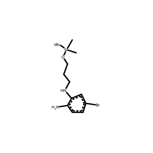 CC(C)(C)[Si](C)(C)OCCCNc1cc(Br)ccc1N